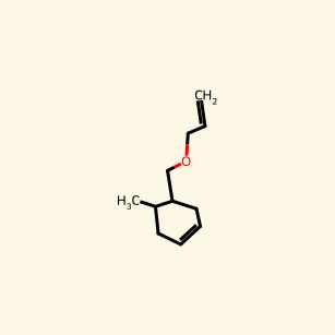 C=CCOCC1CC=CCC1C